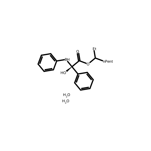 CCCCCC(CC)OC(=O)[C@@](O)(Bc1ccccc1)c1ccccc1.O.O